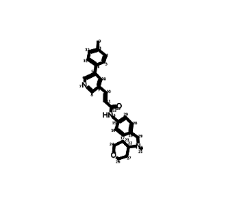 Cc1ccc(-c2cncc(C=CC(=O)Nc3ccc(CN(C)C4CCOCC4)cc3)c2)cc1